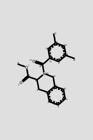 COC(=O)C1Cc2ccccc2CN1C(=O)c1cc(C)cc(C)c1